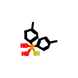 Cc1ccc(P(O)(O)(S)c2ccc(C)cc2)cc1